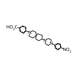 O=C(O)c1ccc(N2CCC3(CCC(N4CCN(c5ccc([N+](=O)[O-])cc5)CC4)CC3)CC2)cc1